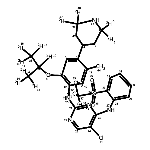 [2H]C1([2H])CC(c2cc(OC([2H])(C([2H])([2H])[2H])C([2H])([2H])[2H])c(Nc3ncc(Cl)c(Nc4ccccc4S(=O)(=O)C([2H])(C)C)n3)cc2C)CC([2H])([2H])N1